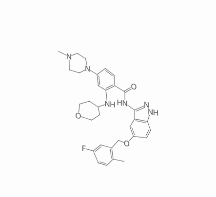 Cc1ccc(F)cc1COc1ccc2[nH]nc(NC(=O)c3ccc(N4CCN(C)CC4)cc3NC3CCOCC3)c2c1